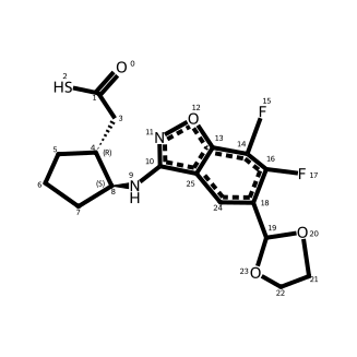 O=C(S)C[C@H]1CCC[C@@H]1Nc1noc2c(F)c(F)c(C3OCCO3)cc12